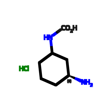 Cl.N[C@@H]1CCCC(NC(=O)O)C1